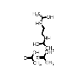 CC(=O)O.CC(=O)O.CC(O)NCCNC(C)O